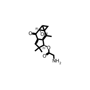 CC1=C2C(=CC(C)(C)[C@@H]2OC(=O)CN)C(=O)[C@@]2(O)C3CC132